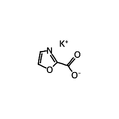 O=C([O-])c1ncco1.[K+]